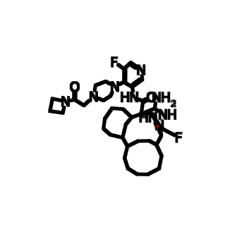 NC1NN2C3C(F)CNC2C1(C(=O)Nc1cncc(F)c1N1CCN(CC(=O)N2CCC2)CC1)C1CCCCCC(C1)C1CCCCCCC3CC1